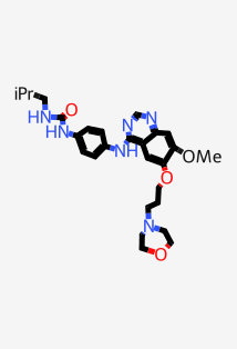 COc1cc2ncnc(Nc3ccc(NC(=O)NCC(C)C)cc3)c2cc1OCCCN1CCOCC1